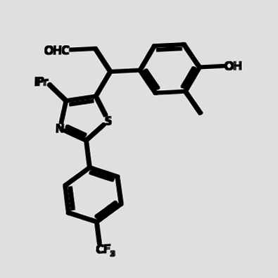 Cc1cc(C(CC=O)c2sc(-c3ccc(C(F)(F)F)cc3)nc2C(C)C)ccc1O